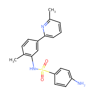 Cc1cccc(-c2ccc(C)c(NS(=O)(=O)c3ccc(N)cc3)c2)n1